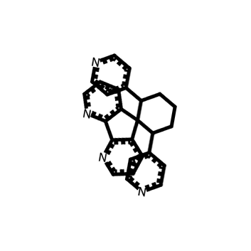 c1cnc2c(c1)C1(c3cccnc3-2)C(c2ccncc2)CCCC1c1ccncc1